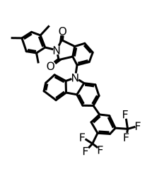 Cc1cc(C)c(N2C(=O)c3cccc(-n4c5ccccc5c5cc(-c6cc(C(F)(F)F)cc(C(F)(F)F)c6)ccc54)c3C2=O)c(C)c1